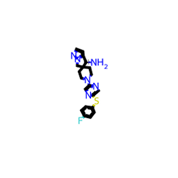 N[C@@H]1c2ccnn2CC12CCN(c1cnc(Sc3ccc(F)cc3)cn1)CC2